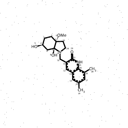 CO[C@@]12CC[C@H](O)C[C@@]1(O)N(Cc1cc3cc(C)cc(C)c3[nH]c1=O)CC2